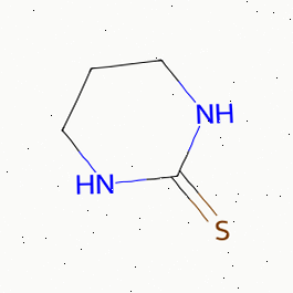 S=C1NCCCN1